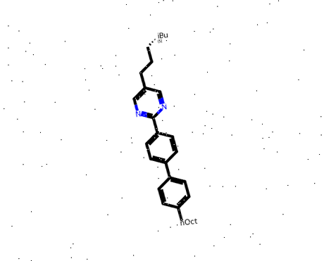 CCCCCCCCc1ccc(-c2ccc(-c3ncc(CCC[C@@H](C)CC)cn3)cc2)cc1